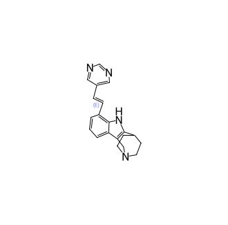 C(=C\c1cccc2c3c([nH]c12)C1CCN(CC1)C3)/c1cncnc1